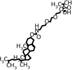 CC(C)CCCC(C)C1CCC2C3CC=C4CC(OC(=O)NCCCOCCOCCOP(=O)(O)C(C)C)CCC4(C)C3CCC12C